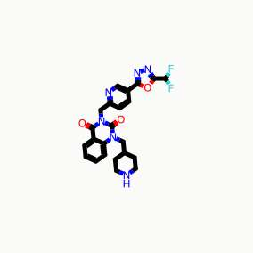 O=c1c2ccccc2n(CC2CCNCC2)c(=O)n1Cc1ccc(-c2nnc(C(F)F)o2)cn1